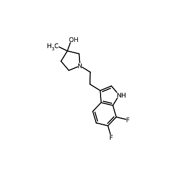 CC1(O)CCN(CCc2c[nH]c3c(F)c(F)ccc23)C1